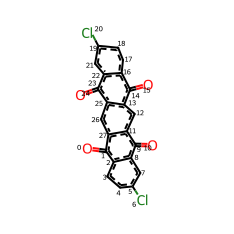 O=c1c2ccc(Cl)cc2c(=O)c2cc3c(=O)c4ccc(Cl)cc4c(=O)c3cc12